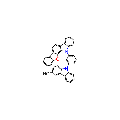 N#Cc1ccc2c(c1)c1ccccc1n2-c1cccc(-n2c3ccccc3c3ccc4c5ccccc5oc4c32)c1